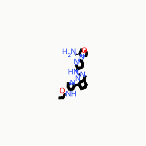 C=CC(=O)Nc1ccnc(-c2cccc3cnc(Nc4ccc(N5CCOC[C@H]5CN)nc4)nc23)c1